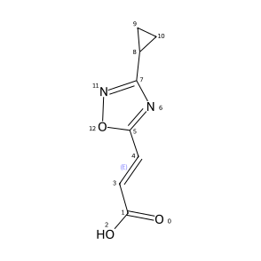 O=C(O)/C=C/c1nc(C2CC2)no1